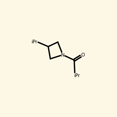 CC(C)C(=O)N1CC(C(C)C)C1